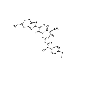 CN1CCc2nc(C(=O)NC(CNCNC(=O)c3ccc(CI)cc3)C(=O)N(C)C)sc2C1